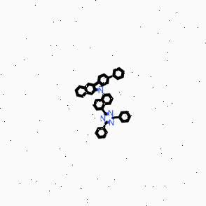 c1ccc(-c2ccc3c4cc5ccccc5cc4n(-c4cccc5c(-c6nc(-c7ccccc7)nc(-c7ccccc7)n6)cccc45)c3c2)cc1